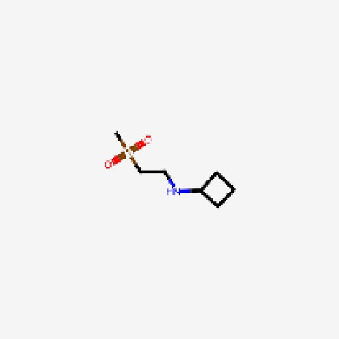 CS(=O)(=O)CCNC1CCC1